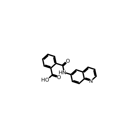 O=C(O)c1ccccc1C(=O)Nc1ccc2ncccc2c1